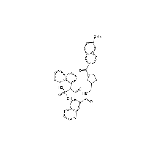 COc1ccc2cc(C(=O)N3CCC(CNC(=O)c4cc5ccccc5cc4C(=O)C(c4cccc5ccccc45)P(=O)(O)O)C3)ccc2c1